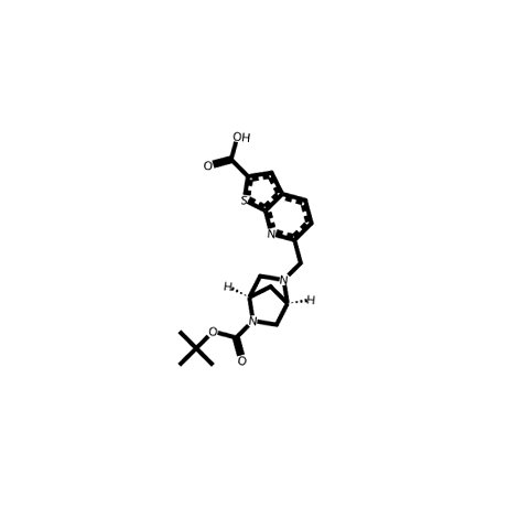 CC(C)(C)OC(=O)N1C[C@H]2C[C@@H]1CN2Cc1ccc2cc(C(=O)O)sc2n1